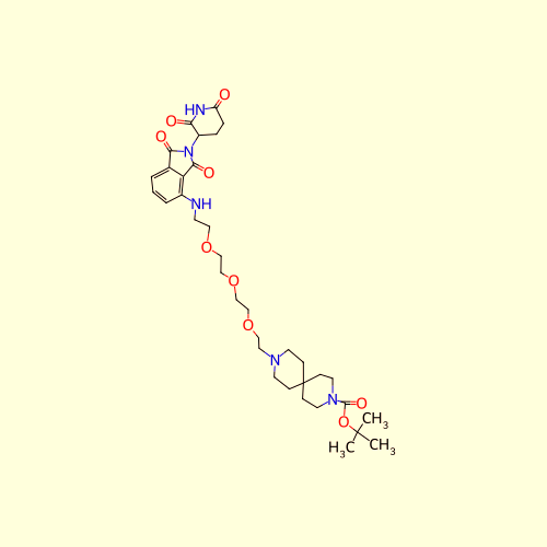 CC(C)(C)OC(=O)N1CCC2(CCN(CCOCCOCCOCCNc3cccc4c3C(=O)N(C3CCC(=O)NC3=O)C4=O)CC2)CC1